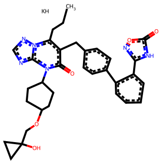 CCCc1c(Cc2ccc(-c3ccccc3-c3noc(=O)[nH]3)cc2)c(=O)n(C2CCC(OCC3(O)CC3)CC2)c2ncnn12.[KH]